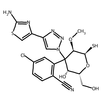 CO[C@H]1[C@@H](S)O[C@H](CO)[C@H](O)C1(c1cc(Cl)ccc1C#N)n1cc(-c2csc(N)n2)nn1